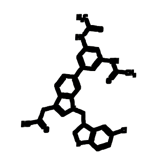 CC(=O)Nc1cc(NC(C)=O)cc(-c2ccc3c(CC(=O)O)cn(CC4CSc5ccc(Cl)cc54)c3c2)c1